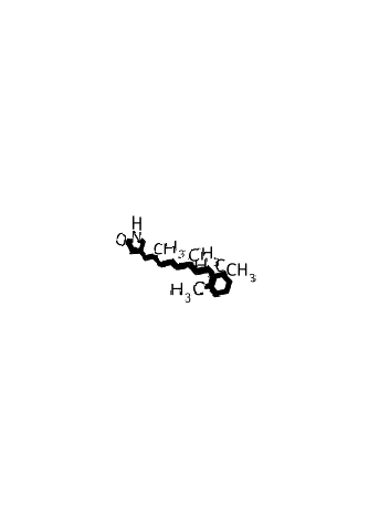 CC1=C(/C=C/C(C)=C/C=C/C(C)=C/C2=CC(=O)NC2)C(C)(C)CCC1